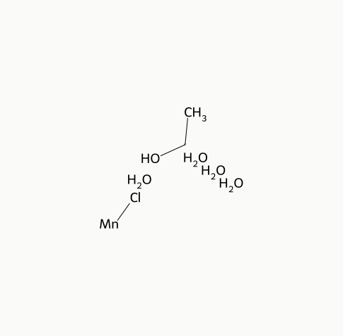 CCO.O.O.O.O.[Cl][Mn]